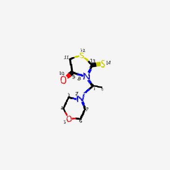 CC(N1CCOCC1)N1C(=O)CSC1=S